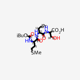 CSCCC(NC(=O)OCC(C)C)C(=O)NC(CC(C)C)C(=O)NC(CO)C(=O)O